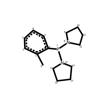 Cc1ccccc1P(N1CCCC1)N1CCCC1